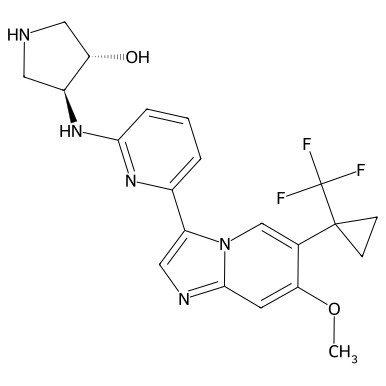 COc1cc2ncc(-c3cccc(N[C@H]4CNC[C@@H]4O)n3)n2cc1C1(C(F)(F)F)CC1